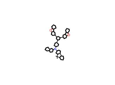 CC1(C)c2ccccc2-c2ccc(N(c3ccc(-c4cc(-c5ccc6oc7ccccc7c6c5)cc(-c5ccc6oc7ccccc7c6c5)c4)cc3)c3ccc4ccccc4c3)cc21